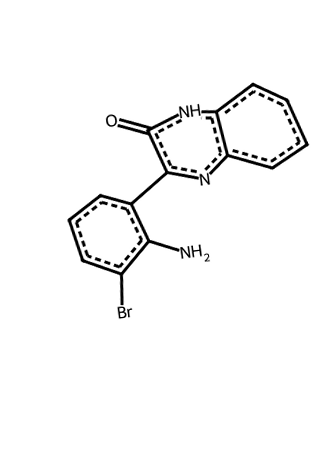 Nc1c(Br)cccc1-c1nc2ccccc2[nH]c1=O